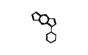 C1=Cc2cc3c(cc2=C1)C=CC=3C1C=CCCC1